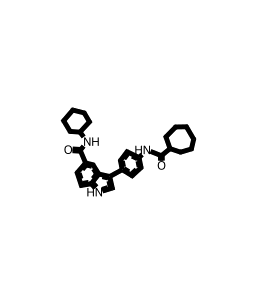 O=C(NC1CCCCC1)c1ccc2[nH]cc(-c3ccc(NC(=O)C4CCCCCC4)cc3)c2c1